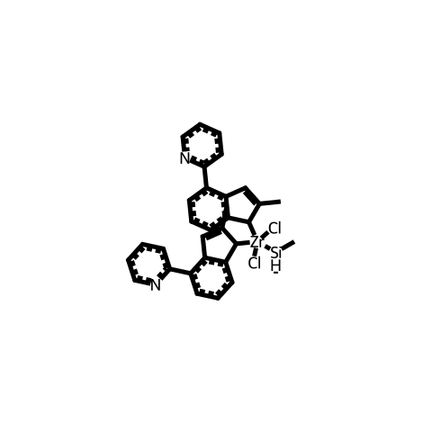 CC1=Cc2c(-c3ccccn3)cccc2[CH]1[Zr]([Cl])([Cl])([CH]1C(C)=Cc2c(-c3ccccn3)cccc21)[SiH](C)C